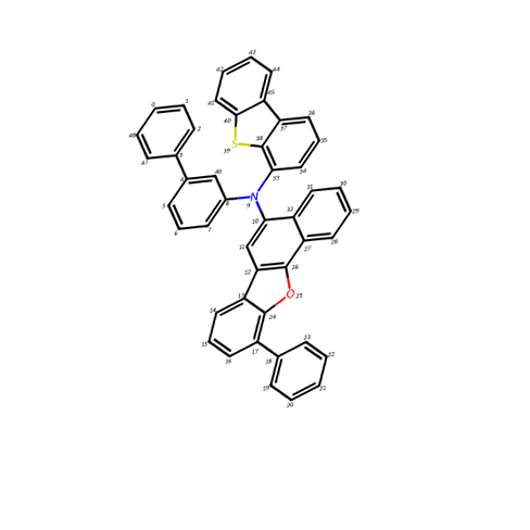 c1ccc(-c2cccc(N(c3cc4c5cccc(-c6ccccc6)c5oc4c4ccccc34)c3cccc4c3sc3ccccc34)c2)cc1